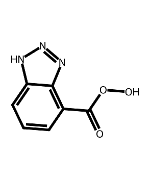 O=C(OO)c1cccc2[nH]nnc12